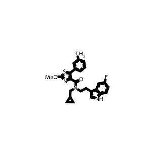 COc1nc(C(=O)N(CCc2c[nH]c3ccc(F)cc23)CC2CC2)c(-c2cccc(C)c2)s1